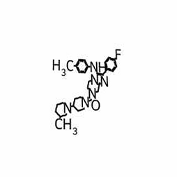 Cc1ccc(Nc2c(-c3ccc(F)cc3)nc3n2CCN(C(=O)N2CCC(N4CCCC(C)C4)CC2)C3)cc1